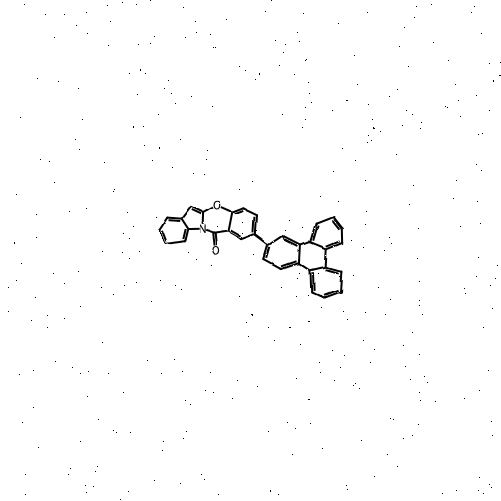 O=c1c2cc(-c3ccc4c5ccccc5c5ccccc5c4c3)ccc2oc2cc3ccccc3n12